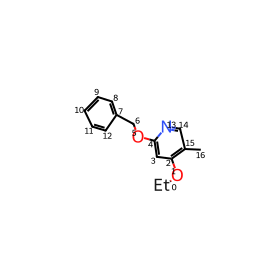 CCOc1cc(OCc2ccccc2)ncc1C